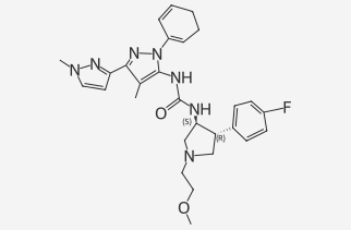 COCCN1C[C@@H](NC(=O)Nc2c(C)c(-c3ccn(C)n3)nn2C2=CCCC=C2)[C@H](c2ccc(F)cc2)C1